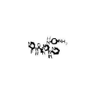 NC1CCC(Nc2cc(Nc3ccccn3)c3ncc(C(=O)Nc4ccncc4F)n3n2)CC1